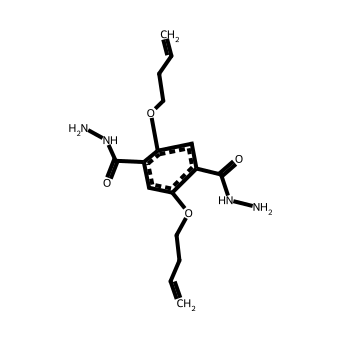 C=CCCOc1cc(C(=O)NN)c(OCCC=C)cc1C(=O)NN